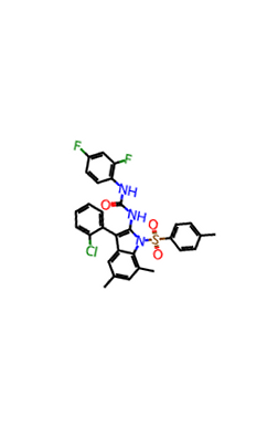 Cc1ccc(S(=O)(=O)n2c(NC(=O)Nc3ccc(F)cc3F)c(-c3ccccc3Cl)c3cc(C)cc(C)c32)cc1